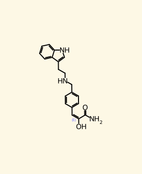 NC(=O)/C(O)=C\c1ccc(CNCCc2c[nH]c3ccccc23)cc1